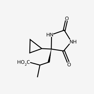 CC(C[C@@]1(C2CC2)NC(=O)NC1=O)C(=O)O